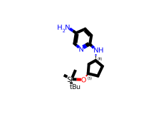 CC(C)(C)[Si](C)(C)O[C@H]1CC[C@@H](Nc2ccc(N)cn2)C1